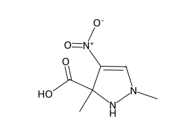 CN1C=C([N+](=O)[O-])C(C)(C(=O)O)N1